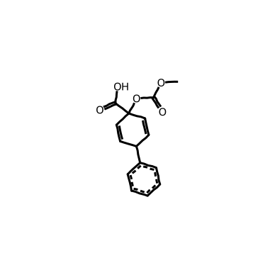 COC(=O)OC1(C(=O)O)C=CC(c2ccccc2)C=C1